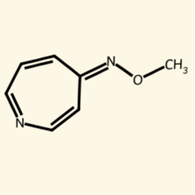 CON=c1cccncc1